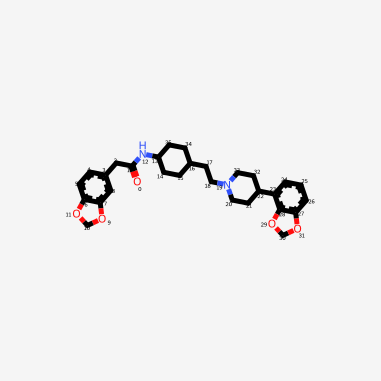 O=C(Cc1ccc2c(c1)OCO2)NC1CCC(CCN2CCC(c3cccc4c3OCO4)CC2)CC1